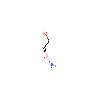 NB=CCO